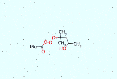 CC(O)CC(C)(C)OOOC(=O)C(C)(C)C